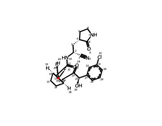 N#C[C@@H](C[C@@H]1CCNC1=O)NC(=O)[C@@H]1[C@@H]2CC[C@@H](CC2(F)F)N1C(=O)[C@H](O)c1cccc(Cl)c1